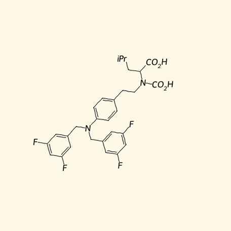 CC(C)CC(C(=O)O)N(CCc1ccc(N(Cc2cc(F)cc(F)c2)Cc2cc(F)cc(F)c2)cc1)C(=O)O